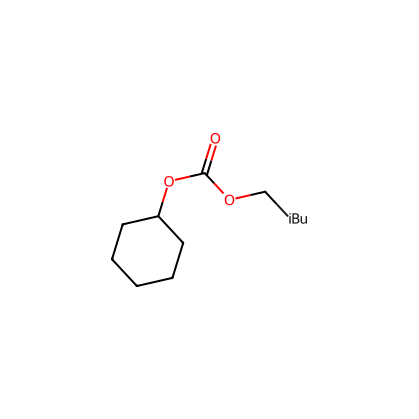 CCC(C)COC(=O)OC1CCCCC1